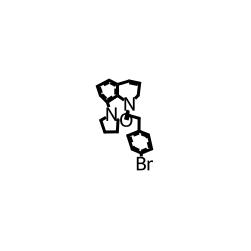 O=C(Cc1ccc(Br)cc1)N1CC=Cc2cccc(N3CCCC3)c21